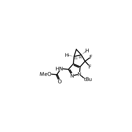 COC(=O)Nc1nn(C(C)(C)C)c2c1[C@H]1C[C@H]1C2(F)F